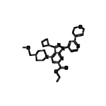 CCOC(=O)c1cc(N2CCC(COC)CC2)c2c(C3CCC3)nn(-c3ccnc(C4=CCOCC4)c3)c2n1